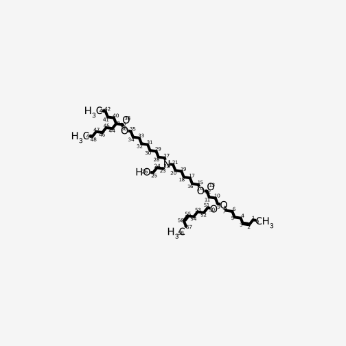 CC/C=C\CCCCOC(CCC(=O)OCCCCCCCN(CCCO)CCCCCCCCCOC(=O)C(CCCC)CCCCCC)OCCCC/C=C\CC